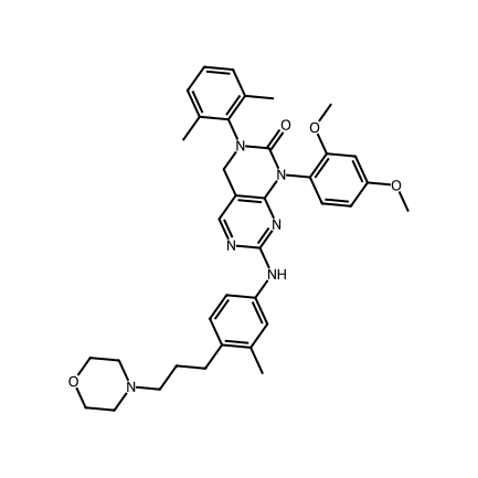 COc1ccc(N2C(=O)N(c3c(C)cccc3C)Cc3cnc(Nc4ccc(CCCN5CCOCC5)c(C)c4)nc32)c(OC)c1